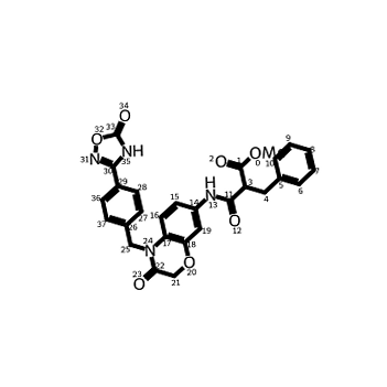 COC(=O)C(Cc1ccccc1)C(=O)Nc1ccc2c(c1)OCC(=O)N2Cc1ccc(-c2noc(=O)[nH]2)cc1